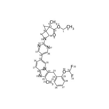 CCOC(=O)C1(C)CC12CN(c1ncc(-c3ccc4nc(C)c(Cc5ccccc5OC(F)F)n4c3)cn1)C2